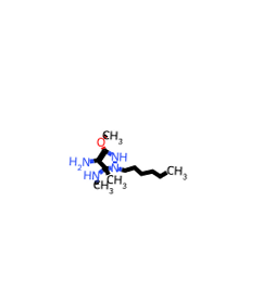 CCCCCCN1NC(OC)=C(N)C1(C)NC